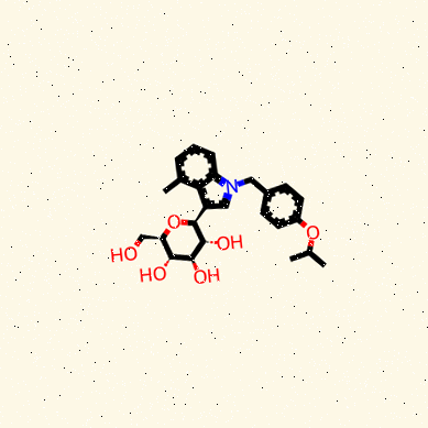 Cc1cccc2c1c([C@@H]1O[C@H](CO)[C@@H](O)[C@H](O)[C@H]1O)cn2Cc1ccc(OC(C)C)cc1